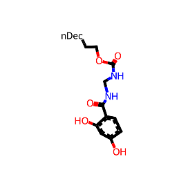 CCCCCCCCCCCCOC(=O)NCNC(=O)c1ccc(O)cc1O